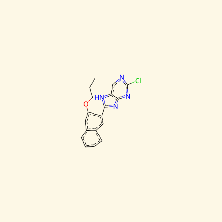 CCCOc1cc2ccccc2cc1-c1nc2nc(Cl)ncc2[nH]1